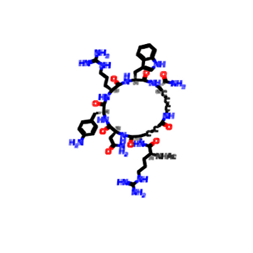 CC(=O)N[C@@H](CCCNC(=N)N)C(=O)N[C@H]1CCC(=O)NCCC[C@@H](C(N)=O)NC(=O)[C@H](Cc2c[nH]c3ccccc23)NC(=O)[C@H](CCCNC(=N)N)NC(=O)[C@@H](Cc2ccc(N)cc2)NC(=O)[C@H](CC(N)=O)NC1=O